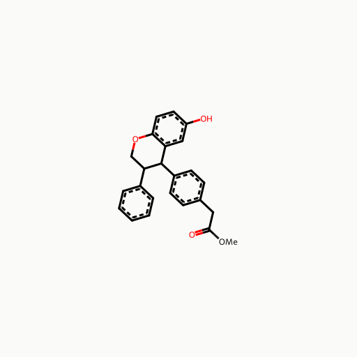 COC(=O)Cc1ccc(C2c3cc(O)ccc3OCC2c2ccccc2)cc1